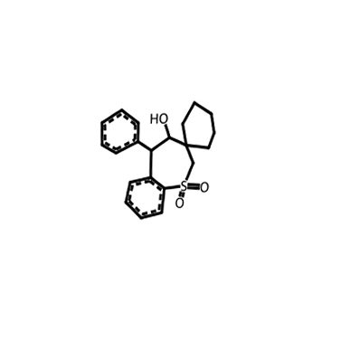 O=S1(=O)CC2(CCCCC2)C(O)C(c2ccccc2)c2ccccc21